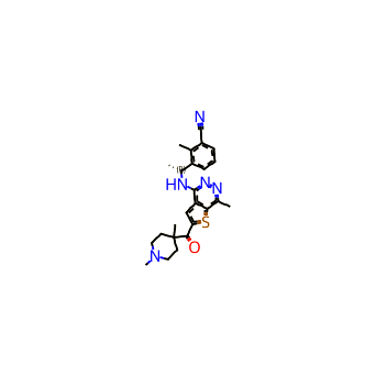 Cc1c(C#N)cccc1[C@@H](C)Nc1nnc(C)c2sc(C(=O)C3(C)CCN(C)CC3)cc12